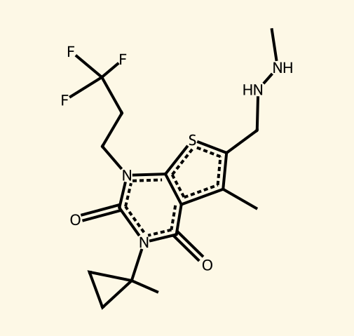 CNNCc1sc2c(c1C)c(=O)n(C1(C)CC1)c(=O)n2CCC(F)(F)F